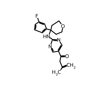 C=C(C)CC(=O)c1cnc(NC2(c3cccc(F)c3)CCOCC2)nc1